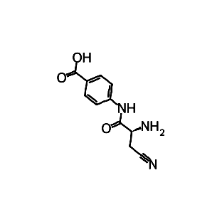 N#CC[C@H](N)C(=O)Nc1ccc(C(=O)O)cc1